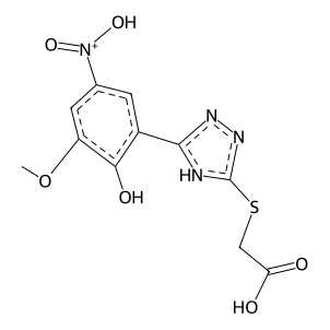 COc1cc([N+](=O)O)cc(-c2nnc(SCC(=O)O)[nH]2)c1O